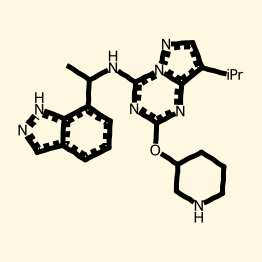 CC(C)c1cnn2c(NC(C)c3cccc4cn[nH]c34)nc(OC3CCCNC3)nc12